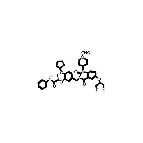 C[C@@H](Oc1cc(Cn2c(=O)c3cc(OC(CF)CF)ccc3n(C3CCN(C=O)CC3)c2=O)ccc1OC1CCCC1)C(=O)Nc1ccccc1